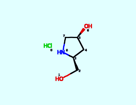 Cl.OC[C@@H]1C[C@H](O)CN1